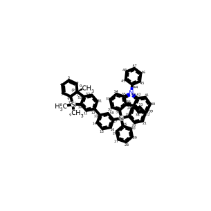 C[C@]12C=CC=CC1[Si](C)(C)c1cc(-c3cccc([Si](c4ccccc4)(c4ccccc4)c4cccc5c4c4ccccc4n5-c4ccccc4)c3)ccc12